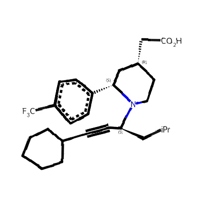 CC(C)C[C@@H](C#CC1CCCCC1)N1CC[C@@H](CC(=O)O)C[C@H]1c1ccc(C(F)(F)F)cc1